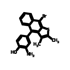 Cc1sc2c(Br)c3ccccc3c(-c3ccc(O)c(N)c3)c2c1C